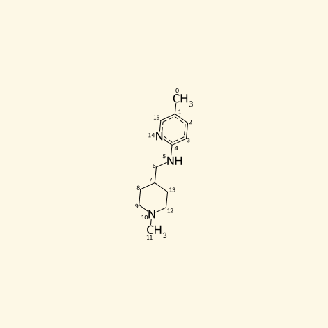 Cc1ccc(NCC2CCN(C)CC2)nc1